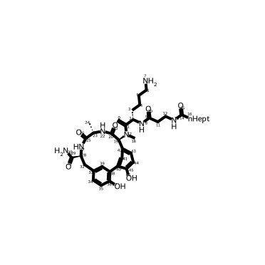 C=C([C@H](CCCCN)NC(=O)CCNC(=O)CCCCCCC)N(C)[C@@H]1C(=O)N[C@@H](C)C(=O)N[C@H](C(N)=O)Cc2ccc(O)c(c2)-c2cc1ccc2O